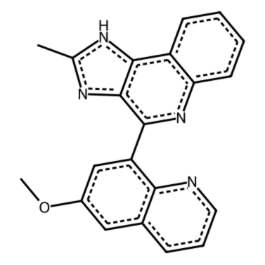 COc1cc(-c2nc3ccccc3c3[nH]c(C)nc23)c2ncccc2c1